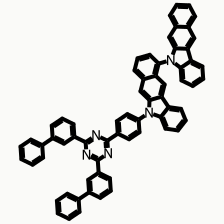 c1ccc(-c2cccc(-c3nc(-c4ccc(-n5c6ccccc6c6cc7c(-n8c9ccccc9c9cc%10ccccc%10cc98)cccc7cc65)cc4)nc(-c4cccc(-c5ccccc5)c4)n3)c2)cc1